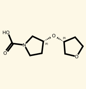 O=C(O)N1CC[C@@H](O[C@@H]2CCOC2)C1